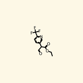 CCOC(=O)C(C=O)c1ccc(C(F)(F)F)nc1